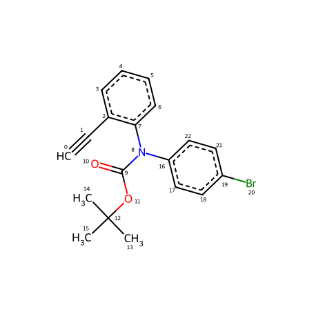 C#Cc1ccccc1N(C(=O)OC(C)(C)C)c1ccc(Br)cc1